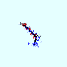 CC(C)C[C@H](NC(=O)[C@@H](N)CCCNC(N)N)C(=O)C(=O)CNC(=O)CNNCC(=O)NCC(=O)NCC(=O)C(=O)OC(C)(C)C